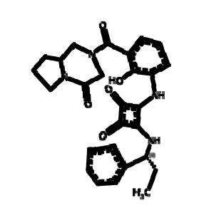 CC[C@@H](Nc1c(Nc2cccc(C(=O)N3CC(=O)N4CCCC4C3)c2O)c(=O)c1=O)c1ccccc1